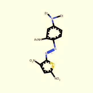 CCN(CC)c1ccc(/N=N/c2sc([N+](=O)[O-])cc2[N+](=O)[O-])c(NC(C)=O)c1